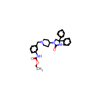 CCOC(=O)Nc1cccc(CN2CCC(N3CC(c4ccccc4)(c4ccccc4)NC3=O)CC2)c1